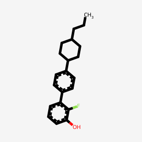 CCCC1CCC(c2ccc(-c3cccc(O)c3F)cc2)CC1